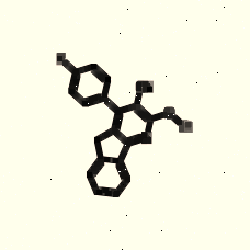 CCOc1nc2c(c(-c3ccc(F)cc3)c1C#N)Cc1ccccc1-2